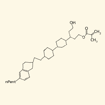 C=C(C)C(=O)OCCC(CCO)C1CCC(C2CCC(CCC3CCc4cc(CCCCC)ccc4C3)CC2)CC1